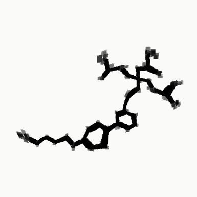 CCCCCOc1ccc(-c2cccc(CCC(COC(C)=O)(COC(C)=O)CC(N)=O)c2)cc1